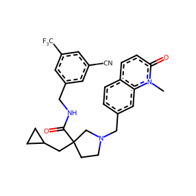 Cn1c(=O)ccc2ccc(CN3CCC(CC4CC4)(C(=O)NCc4cc(C#N)cc(C(F)(F)F)c4)C3)cc21